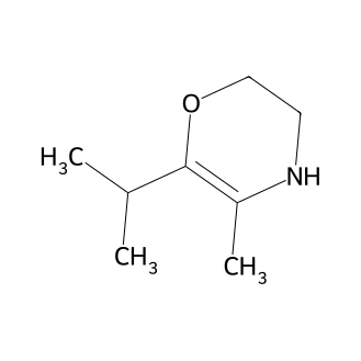 CC1=C(C(C)C)OCCN1